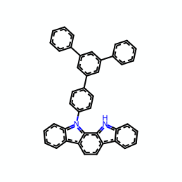 c1ccc(-c2cc(-c3ccccc3)cc(-c3ccc(-n4c5ccccc5c5ccc6c7ccccc7[nH]c6c54)cc3)c2)cc1